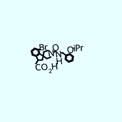 CC(C)Oc1ccccc1CNC(=O)N1CCC2(CC1)CC(CC(=O)O)c1cccc(Br)c12